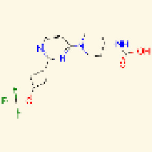 O=C(O)NC1CCN(c2ccnc(C3CC(OC(F)(F)F)C3)n2)CC1